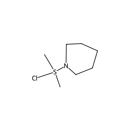 CS(C)(Cl)N1CCCCC1